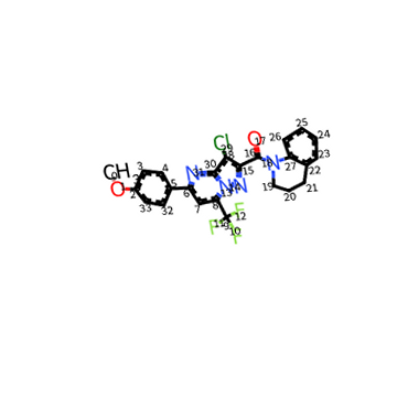 COc1ccc(-c2cc(C(F)(F)F)n3nc(C(=O)N4CCCc5ccccc54)c(Cl)c3n2)cc1